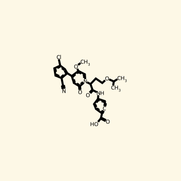 COc1cn(C(CCOC(C)C)C(=O)Nc2ccc(C(=O)O)cc2)c(=O)cc1-c1cc(Cl)ccc1C#N